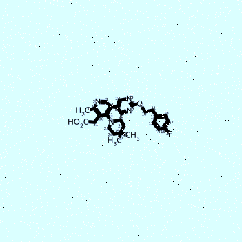 Cc1ncc(-c2cnc(OCCc3ccc(F)cc3)nc2)c(N2CCC(C)(C)CC2)c1CC(=O)O